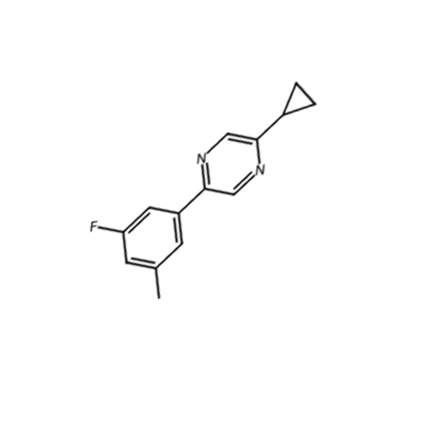 Cc1cc(F)cc(-c2cnc(C3CC3)cn2)c1